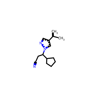 C=C(C)c1cnn(C(CC#N)C2CCCC2)c1